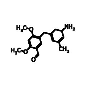 COc1cc(OC)c(CC2=CC(C)=CC(N)C2)cc1C=O